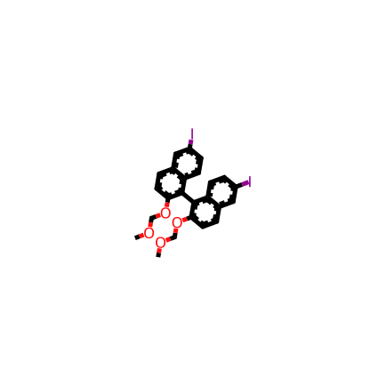 COCOc1ccc2cc(I)ccc2c1-c1c(OCOC)ccc2cc(I)ccc12